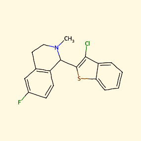 CN1CCc2cc(F)ccc2C1c1sc2ccccc2c1Cl